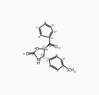 Cc1ccc([C@@H]2NC(=O)O[C@H]2C(=O)c2ccccc2)cc1